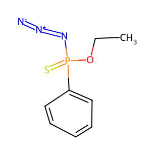 CCOP(=S)(N=[N+]=[N-])c1ccccc1